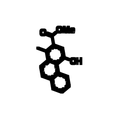 COC(=O)c1cc(O)c2c(ccc3ccccc32)c1C